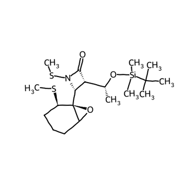 CS[C@@H]1CCCC2O[C@@]21[C@H]1[C@@H]([C@@H](C)O[Si](C)(C)C(C)(C)C)C(=O)N1SC